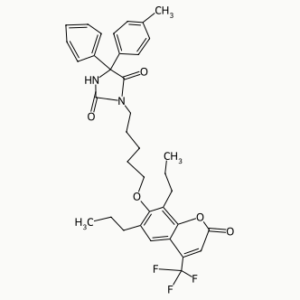 CCCc1cc2c(C(F)(F)F)cc(=O)oc2c(CCC)c1OCCCCCN1C(=O)NC(c2ccccc2)(c2ccc(C)cc2)C1=O